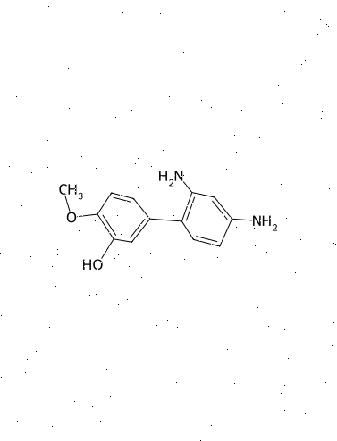 COc1ccc(-c2ccc(N)cc2N)cc1O